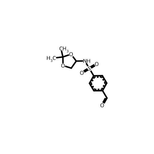 CC1(C)OCC(NS(=O)(=O)c2ccc(C=O)cc2)O1